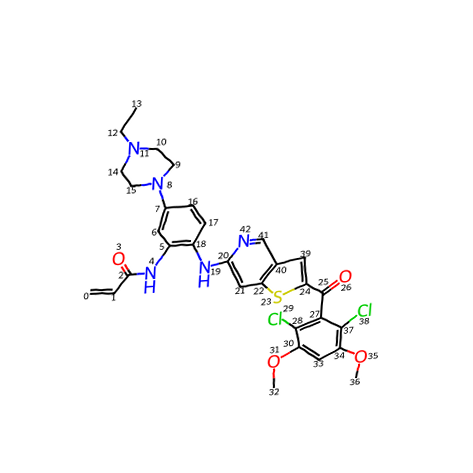 C=CC(=O)Nc1cc(N2CCN(CC)CC2)ccc1Nc1cc2sc(C(=O)c3c(Cl)c(OC)cc(OC)c3Cl)cc2cn1